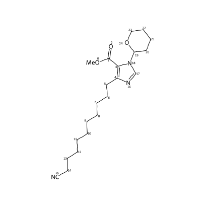 COC(=O)c1c(CCCCCCCCCCC#N)ncn1C1CCCCO1